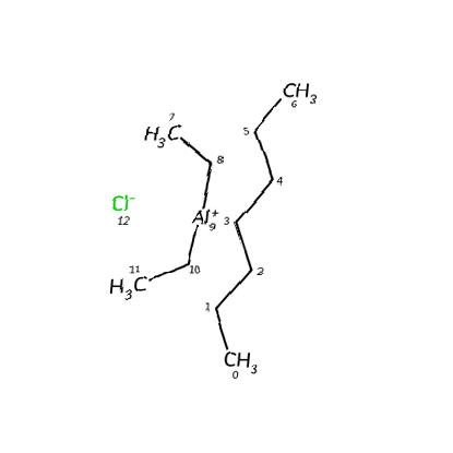 CCCCCCC.C[CH2][Al+][CH2]C.[Cl-]